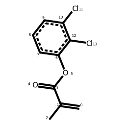 C=C(C)C(=O)Oc1cccc(Cl)c1Cl